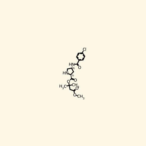 COC(=O)CC(C)(C)OC(=O)[C@@H]1C[C@@H](NC(=O)c2ccc(Cl)cc2)CN1